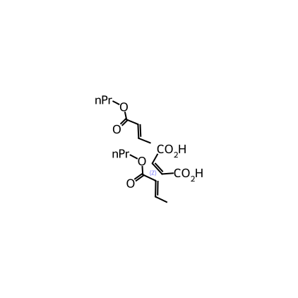 CC=CC(=O)OCCC.CC=CC(=O)OCCC.O=C(O)/C=C\C(=O)O